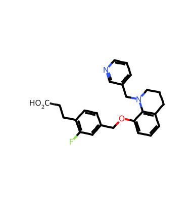 O=C(O)CCc1ccc(COc2cccc3c2N(Cc2cccnc2)CCC3)cc1F